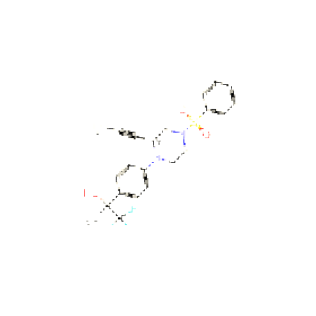 CC#C[C@H]1CN(S(=O)(=O)c2ccccc2)CCN1c1ccc(C(C)(O)C(F)(F)F)cc1